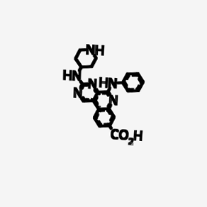 O=C(O)c1ccc2c(c1)nc(Nc1ccccc1)c1nc(NC3CCNCC3)ncc12